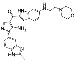 Cc1nc2cc(-n3ncc(C(=O)c4cc5ccc(NCCN6CCOCC6)cc5[nH]4)c3N)ccc2[nH]1